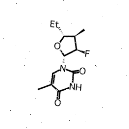 CC[C@H]1O[C@@H](n2cc(C)c(=O)[nH]c2=O)[C@H](F)[C@@H]1C